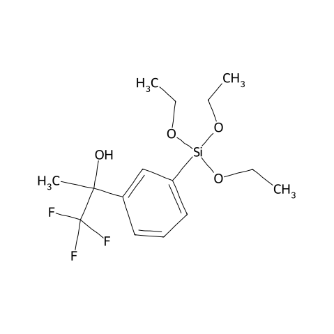 CCO[Si](OCC)(OCC)c1cccc(C(C)(O)C(F)(F)F)c1